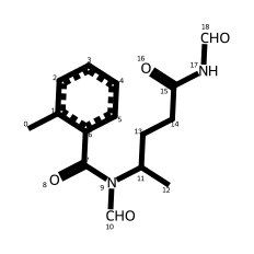 Cc1ccccc1C(=O)N(C=O)C(C)CCC(=O)NC=O